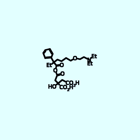 CCN(CC)CCOCCCCC(CC)(C(=O)OC(=O)CC(O)(CC(=O)O)C(=O)O)c1ccccc1